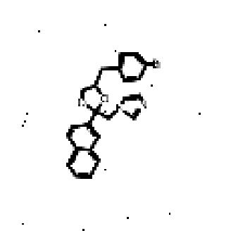 Brc1ccc(CC2COC(Cn3ccnc3)(c3ccc4ccccc4c3)O2)cc1